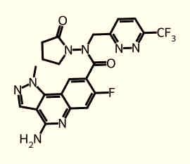 Cn1ncc2c(N)nc3cc(F)c(C(=O)N(Cc4ccc(C(F)(F)F)nn4)N4CCCC4=O)cc3c21